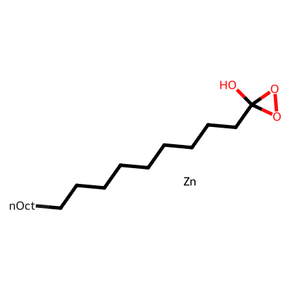 CCCCCCCCCCCCCCCCCC1(O)OO1.[Zn]